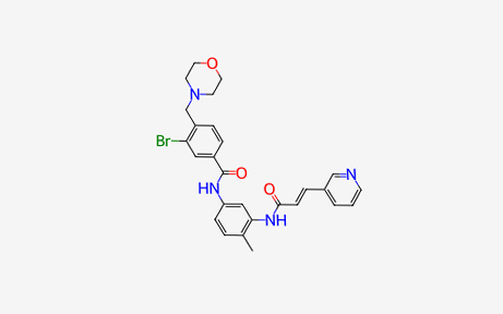 Cc1ccc(NC(=O)c2ccc(CN3CCOCC3)c(Br)c2)cc1NC(=O)C=Cc1cccnc1